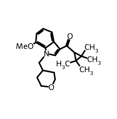 COc1cccc2c(C(=O)C3C(C)(C)C3(C)C)cn(CC3CCOCC3)c12